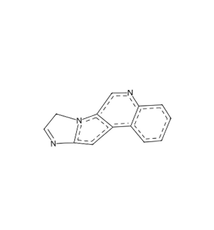 C1=Nc2cc3c4ccccc4ncc3n2C1